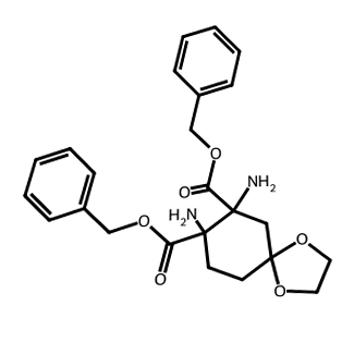 NC1(C(=O)OCc2ccccc2)CCC2(CC1(N)C(=O)OCc1ccccc1)OCCO2